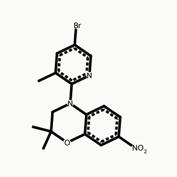 Cc1cc(Br)cnc1N1CC(C)(C)Oc2cc([N+](=O)[O-])ccc21